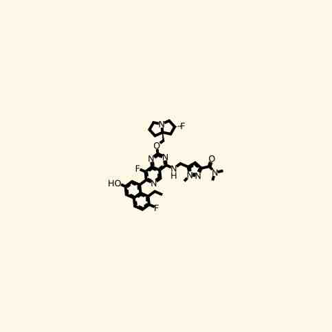 CCc1c(F)ccc2cc(O)cc(-c3ncc4c(NCc5cc(C(=O)N(C)C)nn5C)nc(OC[C@@]56CCCN5C[C@H](F)C6)nc4c3F)c12